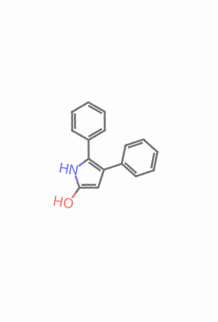 Oc1cc(-c2ccccc2)c(-c2ccccc2)[nH]1